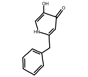 O=c1cc(Cc2ccccc2)[nH]cc1O